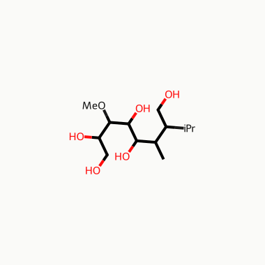 COC(C(O)CO)C(O)C(O)C(C)C(CO)C(C)C